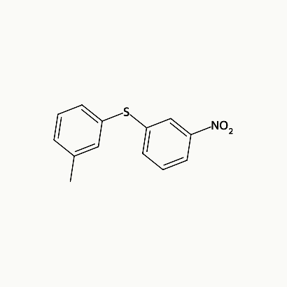 Cc1cccc(Sc2cccc([N+](=O)[O-])c2)c1